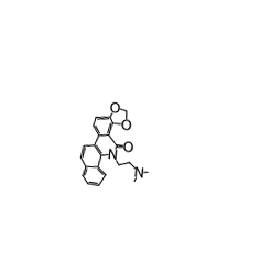 CN(C)CCn1c(=O)c2c3c(ccc2c2ccc4ccccc4c21)OCO3